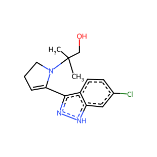 CC(C)(CO)N1CCC=C1c1n[nH]c2cc(Cl)ccc12